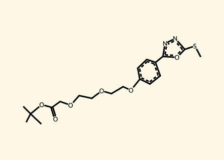 CSc1nnc(-c2ccc(OCCOCCOCC(=O)OC(C)(C)C)cc2)o1